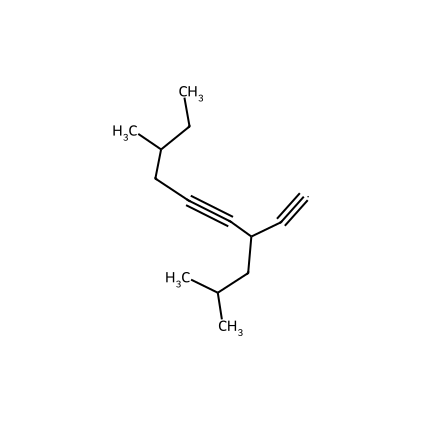 [C]#CC(C#CCC(C)CC)CC(C)C